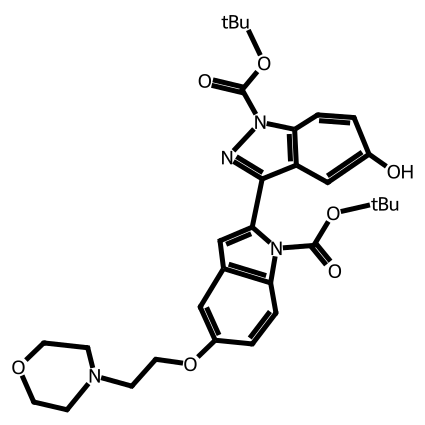 CC(C)(C)OC(=O)n1nc(-c2cc3cc(OCCN4CCOCC4)ccc3n2C(=O)OC(C)(C)C)c2cc(O)ccc21